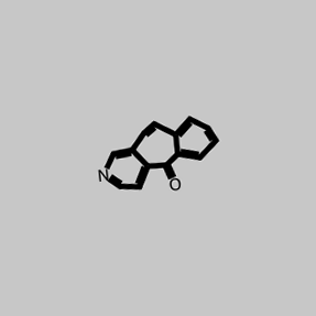 O=c1c2ccccc2ccc2cnccc12